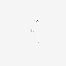 Br.CCCCCCCCCCCCCCCCN1C=CN(C)C1